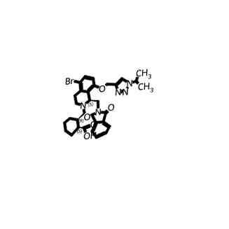 CC(C)n1cc(COc2ccc(Br)c3c2[C@@H](CN2Cc4ccccc4C2=O)N(C(=O)[C@@H]2CCCC[C@@H]2C(=O)O)CC3)nn1